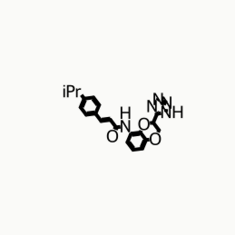 CC(C)c1ccc(C=CC(=O)Nc2cccc3c2OC(c2nnn[nH]2)CO3)cc1